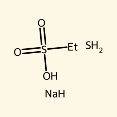 CCS(=O)(=O)O.S.[NaH]